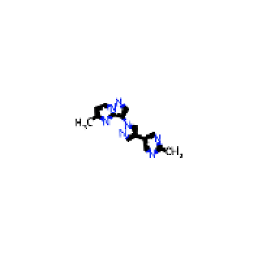 Cc1ccn2ncc(-n3cc(-c4cnc(C)nc4)cn3)c2n1